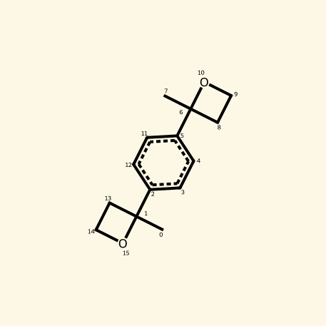 CC1(c2ccc(C3(C)CCO3)cc2)CCO1